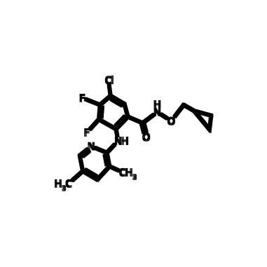 Cc1cnc(Nc2c(C(=O)NOCC3CC3)cc(Cl)c(F)c2F)c(C)c1